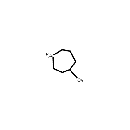 OC1CCC[SiH2]CC1